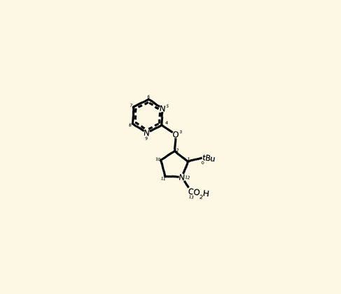 CC(C)(C)C1C(Oc2ncccn2)CCN1C(=O)O